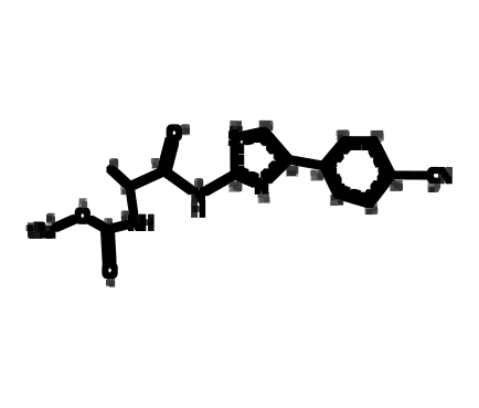 CC(NC(=O)OC(C)(C)C)C(=O)Nc1nc(-c2ccc(C#N)cc2)cs1